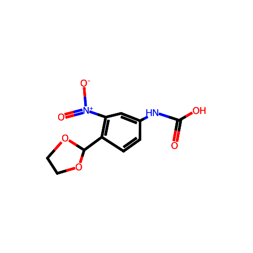 O=C(O)Nc1ccc(C2OCCO2)c([N+](=O)[O-])c1